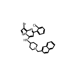 Clc1ccccc1-c1cc(NC2CCN(Cc3ccc4ccccc4c3)CC2)n2ncc(Br)c2n1